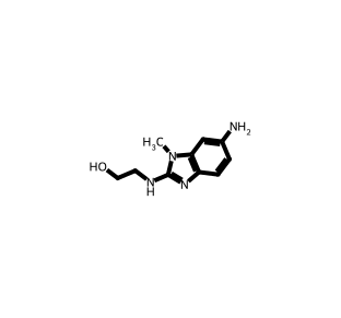 Cn1c(NCCO)nc2ccc(N)cc21